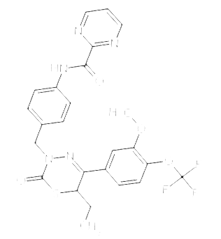 CCC1SC(=O)N(Cc2ccc(NC(=O)c3ncccn3)cc2)N=C1c1ccc(OC(F)(F)F)c(OC)c1